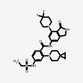 CCS(=O)(=O)Nc1ccc(C(=O)Nc2cc3c(c(N4CCC(F)(F)CC4)c2)C(=O)NC3)c(N2CCC3(CC2)CC3)c1